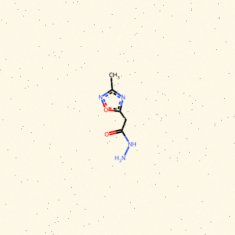 Cc1noc(CC(=O)NN)n1